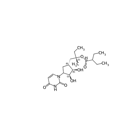 CCC(CC)[PH](=O)O[C@@](C)(CC)C[C@H]1CC(n2ccc(=O)[nH]c2=O)[C@H](O)[C@@H]1O